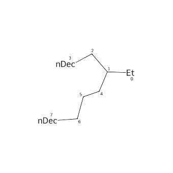 [CH2]CC(CCCCCCCCCCC)CCCCCCCCCCCCC